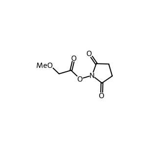 COCC(=O)ON1C(=O)CCC1=O